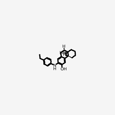 CCc1ccc(Nc2cc3c(cc2O)[C@@]24CCCC[C@H]2[C@@H](C3)NCC4)cc1